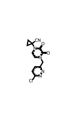 N#CC1(n2ccn(Cc3ccc(Cl)nn3)c(=O)c2=O)CC1